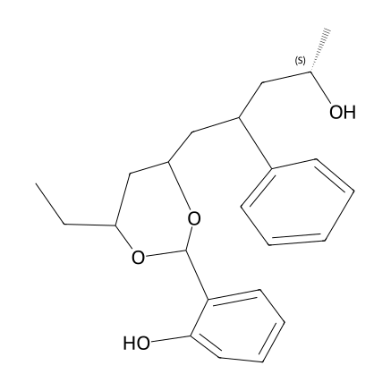 CCC1CC(CC(C[C@H](C)O)c2ccccc2)OC(c2ccccc2O)O1